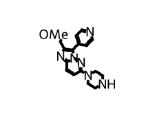 COCc1nc2ccc(N3CCNCC3)nn2c1-c1ccncc1